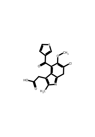 COC1=C(Cl)CC2=NC(C)=C(CC(=O)O)C2=C1C(=O)c1ccsc1